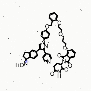 O=C1CCC(N2C(=O)c3cccc(OCCCOCCOc4ccccc4COc4ccc(-n5cc(-c6ccc7c(c6)CC/C7=N\O)c(-c6ccncc6)n5)cc4)c3C2=O)C(=O)N1